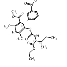 CCOC(=O)[C@@H](NC(=O)OC1=C(C)NC(C)=C(C(=O)OC)[C@@H]1c1cccc([N+](=O)[O-])c1)[C@@H](C)CC